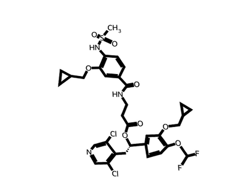 CS(=O)(=O)Nc1ccc(C(=O)NCCC(=O)O[C@@H](Cc2c(Cl)cncc2Cl)c2ccc(OC(F)F)c(OCC3CC3)c2)cc1OCC1CC1